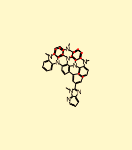 CN1c2ccccc2N(c2ccc(-c3cccc(-c4nc5cccnc5n4C)c3)c(N3c4ccccc4N(C)c4ccccc43)c2N2c3ccccc3N(C)c3ccccc32)c2ccccc21